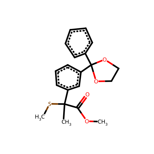 COC(=O)C(C)(SC)c1cccc(C2(c3ccccc3)OCCO2)c1